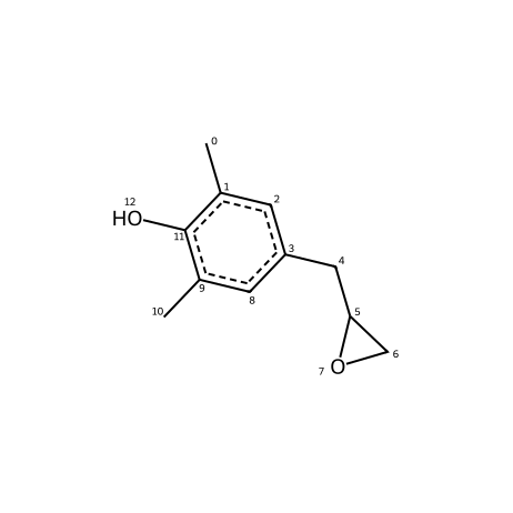 Cc1cc(CC2CO2)cc(C)c1O